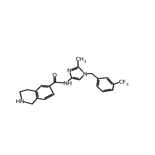 Cc1nc(NC(=O)c2ccc3c(c2)CCNC3)cn1Cc1cccc(C(F)(F)F)c1